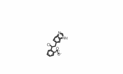 O=[N+]([O-])c1ccccc1C(Cl)Cc1ccc2nc[nH]c2c1